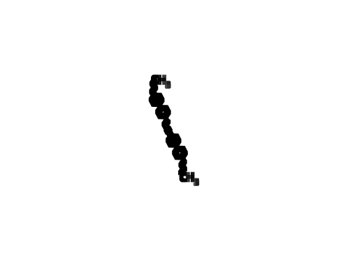 CCCCC[C@H]1CC[C@H](c2ccc(C#C/C=C/[C@H]3CC[C@H](c4ccc(CCCC)cc4)CC3)cc2)CC1